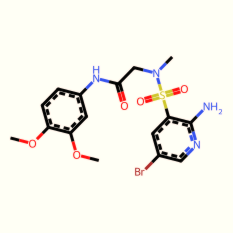 COc1ccc(NC(=O)CN(C)S(=O)(=O)c2cc(Br)cnc2N)cc1OC